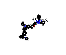 CC1C=CC=CC1c1nc(-c2ccc3c(c2)oc2ccc(-c4ccc5c(c4)c4cc(-c6ccc7c(c6)c6ccccc6n7-c6ccccc6)ccc4n5-c4ccccc4)cc23)nc(C2C=CC=CC2C)n1